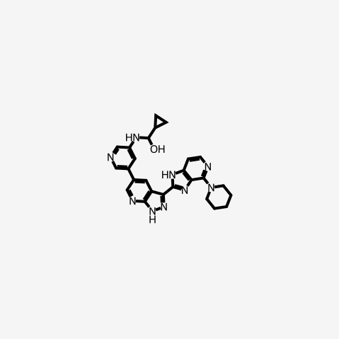 OC(Nc1cncc(-c2cnc3[nH]nc(-c4nc5c(N6CCCCC6)nccc5[nH]4)c3c2)c1)C1CC1